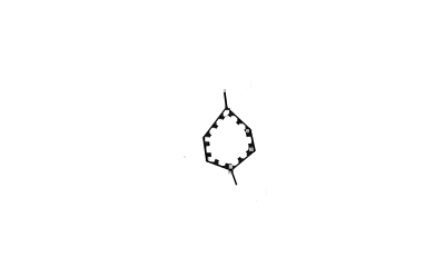 O=C(O)c1ccc(C(=O)O)cc1.[O]